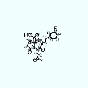 C[S+]([O-])CC[C@H]1C(=O)N(CCc2cccc(F)c2)C[C@@H]2N(C(=O)O)CCC(=O)N21